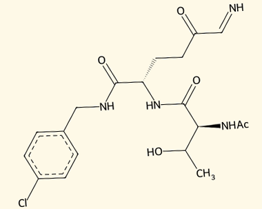 CC(=O)N[C@H](C(=O)N[C@@H](CCC(=O)C=N)C(=O)NCc1ccc(Cl)cc1)C(C)O